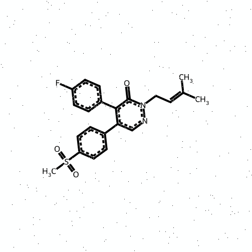 CC(C)=CCn1ncc(-c2ccc(S(C)(=O)=O)cc2)c(-c2ccc(F)cc2)c1=O